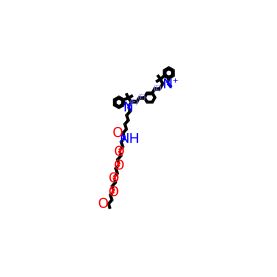 CC(=O)CCOCCOCCOCCOCCNC(=O)CCCCCN1/C(=C/C=C2C=C(/C=C/C3=[N+](C)c4ccccc4C3(C)C)CCC/2)C(C)(C)c2ccccc21